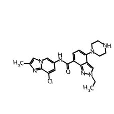 CCn1cc2c(N3CCNCC3)ccc(C(=O)Nc3cc(Cl)c4nc(C)cn4c3)c2n1